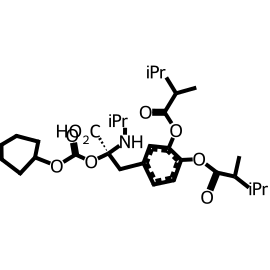 CC(C)N[C@@](Cc1ccc(OC(=O)C(C)C(C)C)c(OC(=O)C(C)C(C)C)c1)(OC(=O)OC1CCCCC1)C(=O)O